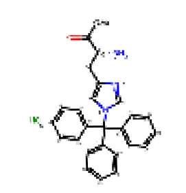 COC(=O)[C@H](N)Cc1cn(C(c2ccccc2)(c2ccccc2)c2ccccc2)cn1.Cl